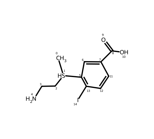 C[SH](CCN)c1cc(C(=O)O)ccc1I